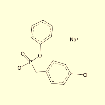 O=P([O-])(Cc1ccc(Cl)cc1)Oc1ccccc1.[Na+]